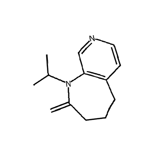 C=C1CCCc2ccncc2N1C(C)C